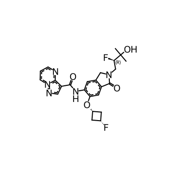 CC(C)(O)[C@H](F)CN1Cc2cc(NC(=O)c3cnn4cccnc34)c(O[C@H]3C[C@@H](F)C3)cc2C1=O